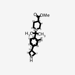 COC(=O)C1CCN(C(C)(C)c2ccc(C3CNC3)cc2F)CC1